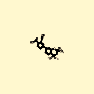 C#Cc1cc(-c2ccc3c(c2)OC(C)(C)CC3(C)C)ccc1C(=O)O